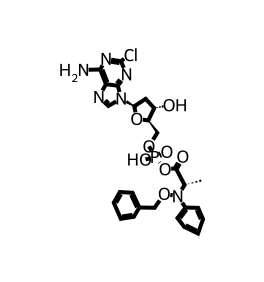 C[C@@H](C(=O)OP(=O)(O)OC[C@H]1O[C@@H](n2cnc3c(N)nc(Cl)nc32)C[C@@H]1O)N(OCc1ccccc1)c1ccccc1